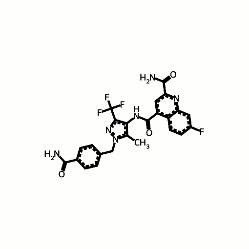 Cc1c(NC(=O)c2cc(C(N)=O)nc3cc(F)ccc23)c(C(F)(F)F)nn1Cc1ccc(C(N)=O)cc1